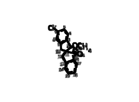 C.O=C1c2ccc(Cl)cc2CC12Cc1ccccc1S2(=O)=O